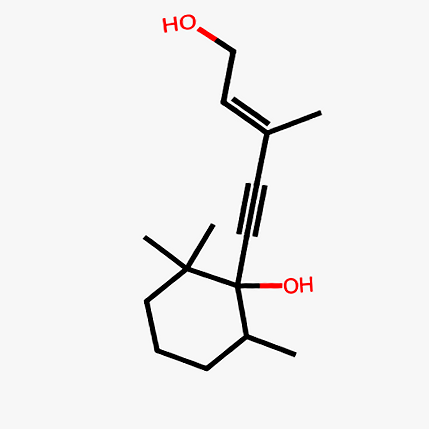 CC(C#CC1(O)C(C)CCCC1(C)C)=CCO